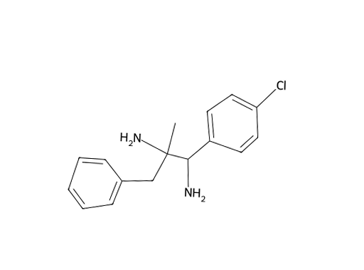 CC(N)(Cc1ccccc1)C(N)c1ccc(Cl)cc1